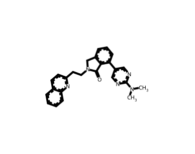 CN(C)c1ncc(-c2cccc3c2C(=O)N(CCc2ccc4ccccc4n2)C3)cn1